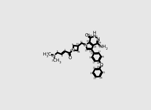 CN(C)CC=CC(=O)N1CC(Cn2cc(-c3ccc(Oc4ccccc4)cc3)c3c(N)n[nH]c(=O)c32)C1